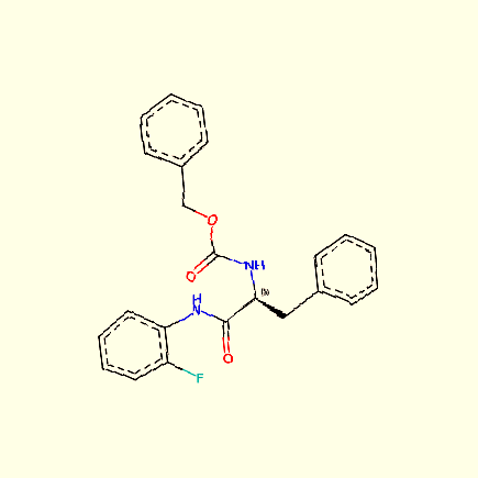 O=C(N[C@@H](Cc1ccccc1)C(=O)Nc1ccccc1F)OCc1ccccc1